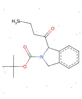 CC(C)(C)OC(=O)N1Cc2ccccc2C1C(=O)CC[SiH3]